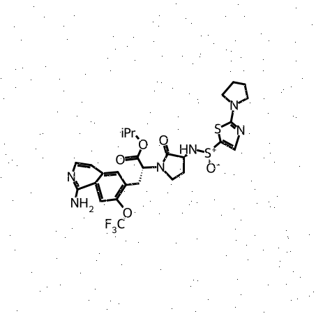 CC(C)OC(=O)[C@@H](Cc1cc2ccnc(N)c2cc1OC(F)(F)F)N1CC[C@H](N[S@@+]([O-])c2cnc(N3CCCC3)s2)C1=O